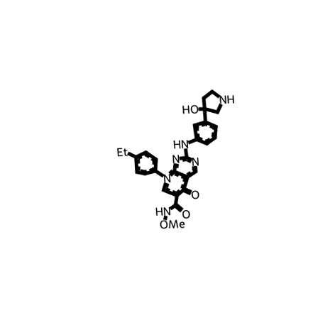 CCc1ccc(-n2cc(C(=O)NOC)c(=O)c3cnc(Nc4cccc(C5(O)CCNC5)c4)nc32)cc1